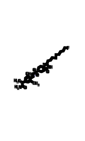 Cc1cc(N(C)C(N)=O)cc(C)c1/C=C/S(=O)(=O)N1CCC2(CC1)N=C(CCCCCCCCCF)NC2=O